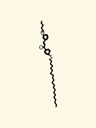 CCCCCCCCCCCCCCCCCCCCCSc1ccc(C(=O)/C=C/c2cccc(OCCCCC)c2)cc1